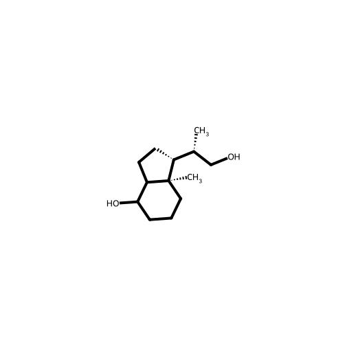 C[C@H](CO)[C@H]1CCC2C(O)CCC[C@@]21C